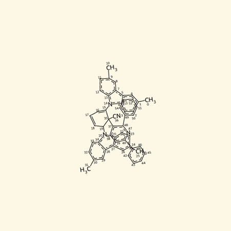 Cc1ccc2c(c1)c1cc(C)ccc1n2C1=CC=CC(n2c3ccc(C)cc3c3cc(C)ccc32)C1(C#N)c1ccc(-c2ccccc2)nc1-c1ccccc1